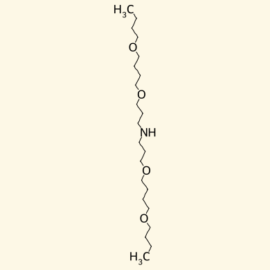 CCCCOCCCCOCCCNCCCOCCCCOCCCC